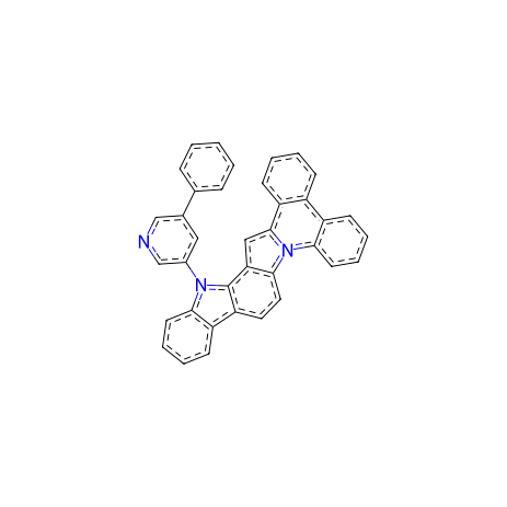 c1ccc(-c2cncc(-n3c4ccccc4c4ccc5c(cc6c7ccccc7c7ccccc7n65)c43)c2)cc1